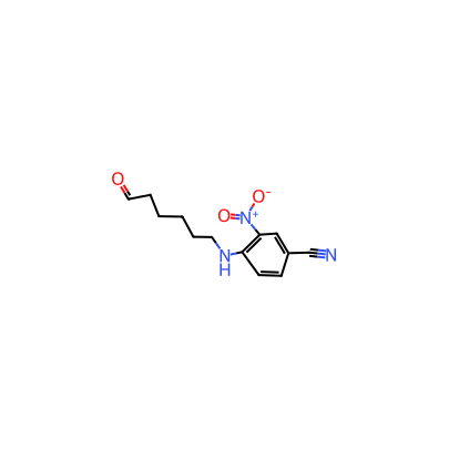 N#Cc1ccc(NCCCCCC=O)c([N+](=O)[O-])c1